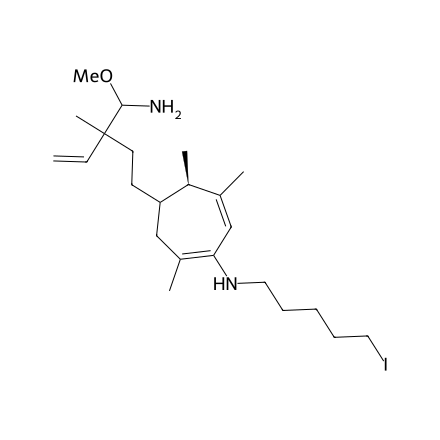 C=CC(C)(CCC1CC(C)=C(NCCCCCI)C=C(C)[C@@H]1C)C(N)OC